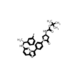 C[C@@H](Nc1ccc2ncc(-c3ccc(N4C[C@@H](NC(=O)OC(C)(C)C)CC4=O)cc3)n2n1)c1cccc(F)c1